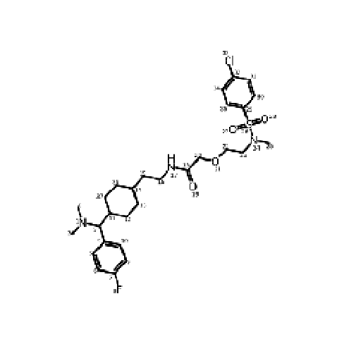 CN(C)C(c1ccc(F)cc1)C1CCC(CCNC(=O)COCCN(C)S(=O)(=O)c2ccc(Cl)cc2)CC1